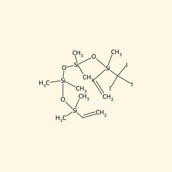 C=C[Si](C)(C)O[Si](C)(C)O[Si](C)(C)O[Si](C)(C=C)C(I)(I)I